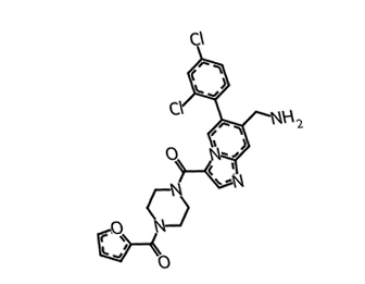 NCc1cc2ncc(C(=O)N3CCN(C(=O)c4ccco4)CC3)n2cc1-c1ccc(Cl)cc1Cl